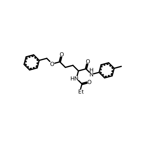 CCC(=O)NC(CCC(=O)OCc1ccccc1)C(=O)Nc1ccc(C)cc1